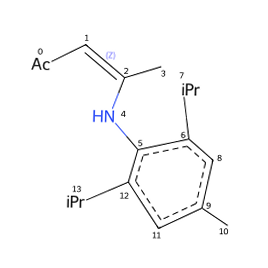 CC(=O)/C=C(/C)Nc1c(C(C)C)cc(C)cc1C(C)C